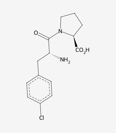 N[C@H](Cc1ccc(Cl)cc1)C(=O)N1CCC[C@H]1C(=O)O